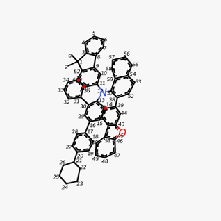 CC1(C)c2ccccc2-c2cc(N(c3ccc(-c4ccc(C5CCCCC5)cc4)cc3-c3ccccc3)c3c(-c4ccc5c(c4)oc4ccccc45)ccc4ccccc34)ccc21